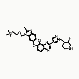 Cc1nc2ccc(Oc3ccc4ncc(-c5cnn(CC6CCNCC6F)c5)nc4c3Cl)cc2n1COCC[Si](C)(C)C